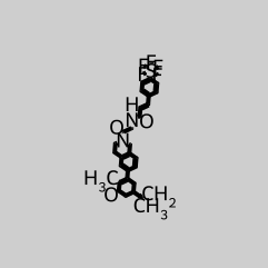 C=C(C)C1CC(=O)C(C)=C(c2ccc3c(c2)CCN(C(=O)CNC(=O)/C=C/c2ccc(S(F)(F)(F)(F)F)cc2)C3)C1